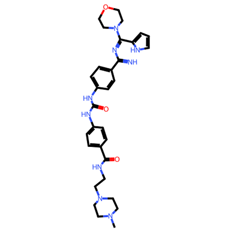 CN1CCN(CCNC(=O)c2ccc(NC(=O)Nc3ccc(C(=N)/N=C(\c4ccc[nH]4)N4CCOCC4)cc3)cc2)CC1